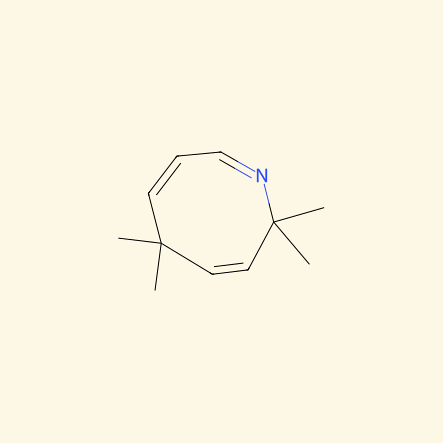 CC1(C)/C=C\C=N/C(C)(C)/C=C\1